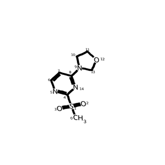 CS(=O)(=O)c1nccc(N2CCOC2)n1